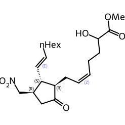 CCCCCC/C=C/[C@H]1[C@H](C[N+](=O)[O-])CC(=O)[C@@H]1C/C=C\CCC(O)C(=O)OC